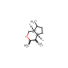 C=C1OC[C@@H]2C(C)CC[C@@H]2C1=C